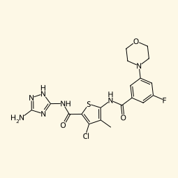 Cc1c(NC(=O)c2cc(F)cc(N3CCOCC3)c2)sc(C(=O)Nc2nc(N)n[nH]2)c1Cl